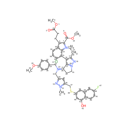 COC(=O)CCc1c(C(=O)OC)n(C)c2c(-c3c(C)nn4c3[C@H](N(Cc3ccc(OC)cc3)Cc3cc(CSc5cc(O)c6ccc(F)cc6c5)n(C)n3)CC4)c(Cl)ccc12